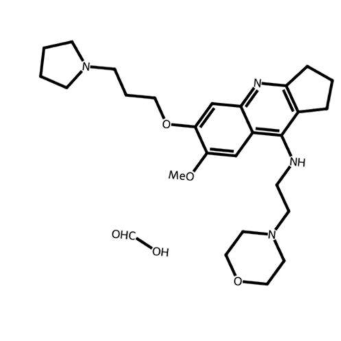 COc1cc2c(NCCN3CCOCC3)c3c(nc2cc1OCCCN1CCCC1)CCC3.O=CO